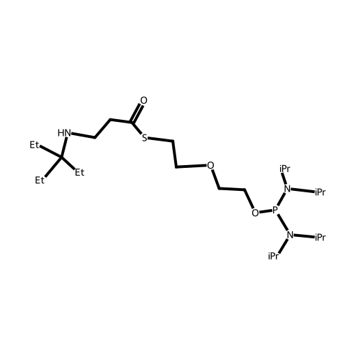 CCC(CC)(CC)NCCC(=O)SCCOCCOP(N(C(C)C)C(C)C)N(C(C)C)C(C)C